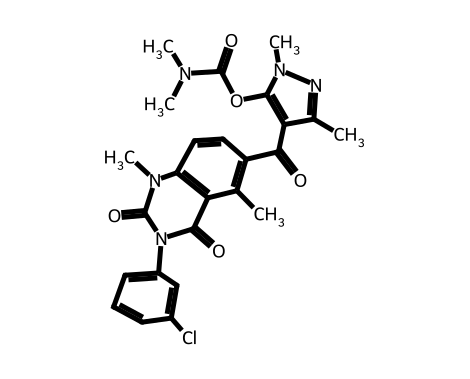 Cc1nn(C)c(OC(=O)N(C)C)c1C(=O)c1ccc2c(c1C)c(=O)n(-c1cccc(Cl)c1)c(=O)n2C